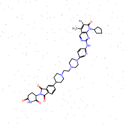 CC(=O)c1c(C)c2cnc(Nc3ccc(N4CCN(CCN5CCC(c6ccc7c(c6)C(=O)N(C6CCC(=O)NC6=O)C7=O)CC5)CC4)cn3)nc2n(C2CCCC2)c1=O